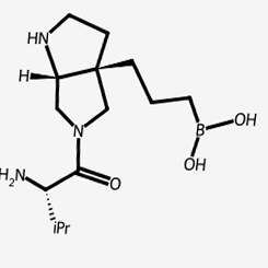 CC(C)[C@H](N)C(=O)N1C[C@@H]2NCC[C@]2(CCCB(O)O)C1